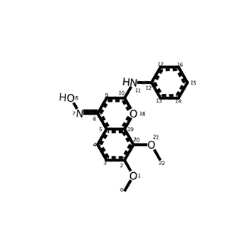 COc1ccc2/c(=N/O)cc(Nc3ccccc3)oc2c1OC